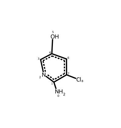 Nc1ncc(O)cc1Cl